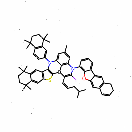 Cc1cc2c3c(c1)N(c1ccc4c(c1)C(C)(C)CCC4(C)C)c1c(sc4cc5c(cc14)C(C)(C)CCC5(C)C)B3C(/C=C\CC(C)C)=C(I)N2c1cccc2c1oc1cc3c(cc12)CCC=C3